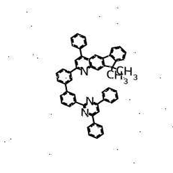 CC1(C)c2ccccc2-c2cc3c(-c4ccccc4)cc(-c4cccc(-c5cccc(-c6nc(-c7ccccc7)cc(-c7ccccc7)n6)c5)c4)nc3cc21